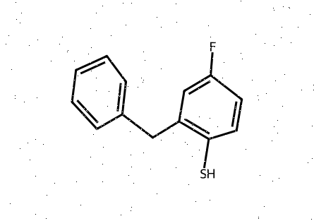 Fc1ccc(S)c(Cc2ccccc2)c1